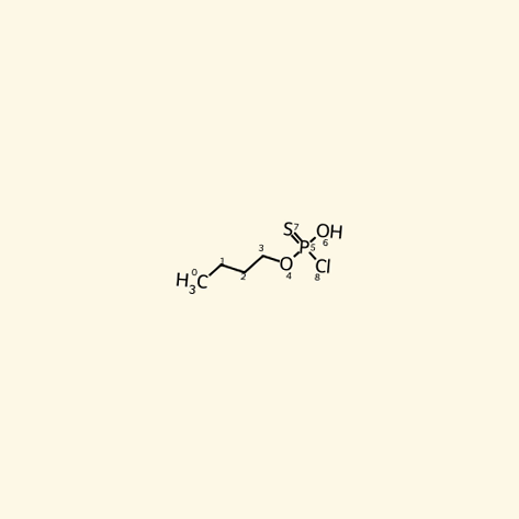 CCCCOP(O)(=S)Cl